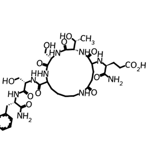 C[C@@H](O)[C@@H]1NC(=O)C(N[C@@H](CCC(=O)O)C(N)=O)CCC(=O)NCCCCC(C(=O)N[C@@H](CO)C(=O)N[C@@H](Cc2ccccc2)C(N)=O)NC(=O)[C@H](CO)NC1=O